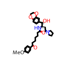 COc1ccc(C(=O)CCCCCC(=O)N[C@H](CCN2CCCC2)[C@H](O)c2ccc3c(c2)OCCO3)cc1